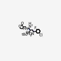 CC(C)(C)OC(=O)C(/C=C(\N)c1cc(Cl)ccc1F)=C(/N)NCC1CCOC1=O